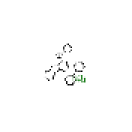 Cl.Cl.[CH2]=[Zr]([C]1=CC=CC1)[c]1cccc2c1Cc1ccccc1-2.c1ccc(-c2ccccc2)cc1